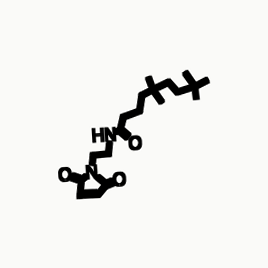 CC(C)(C)CCC(C)(C)CCCC(=O)NCCN1C(=O)C=CC1=O